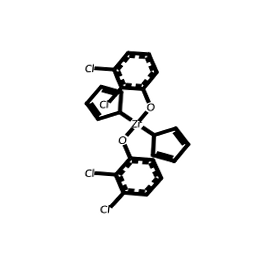 Clc1cccc([O][Zr]([O]c2cccc(Cl)c2Cl)([CH]2C=CC=C2)[CH]2C=CC=C2)c1Cl